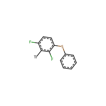 Fc1ccc(Sc2ccccc2)c(F)[c]1[Ti]